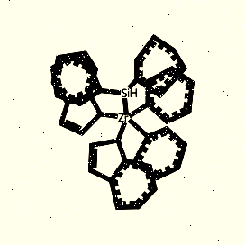 C1=C[CH]([Zr]([c]2ccccc2)([c]2ccccc2)([CH]2C=Cc3ccccc32)[SiH](c2ccccc2)c2ccccc2)c2ccccc21